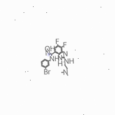 CN(C)CCNc1nc2c(F)c(F)cc(/C(=N\O)Nc3cccc(Br)c3)c2[nH]1